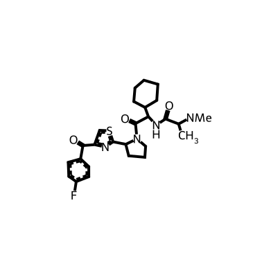 CNC(C)C(=O)NC(C(=O)N1CCCC1c1nc(C(=O)c2ccc(F)cc2)cs1)C1CCCCC1